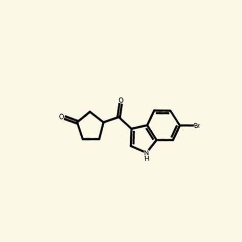 O=C1CCC(C(=O)c2c[nH]c3cc(Br)ccc23)C1